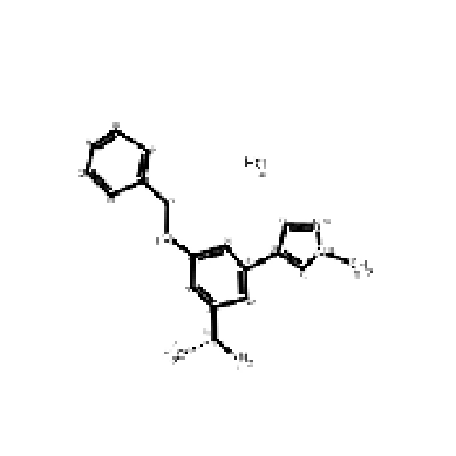 C[C@@H](N)c1cc(OCc2ccccc2)cc(-c2cnn(C)c2)c1.Cl